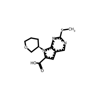 CSc1ncc2cc(C(=O)O)n([C@@H]3CCCOC3)c2n1